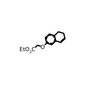 CCOC(=O)COc1ccc2c(c1)C=CCC2